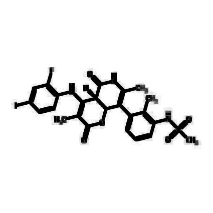 CC1=C(c2cccc(NS(C)(=O)=O)c2C)C2OC(=O)C(C)=C(Nc3ccc(I)cc3F)[C@@H]2C(=O)N1